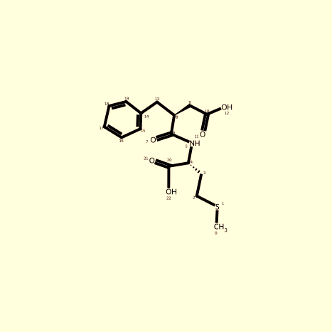 CSCC[C@@H](NC(=O)[C@H](CC(=O)O)Cc1ccccc1)C(=O)O